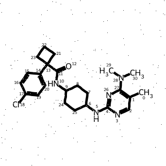 Cc1cnc(NC2CCC(NC(=O)C3(c4ccc(Cl)cc4)CCC3)CC2)nc1N(C)C